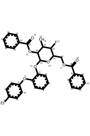 CCc1ccc(Oc2ccccc2OC2OC(COC(=O)c3ccccc3)C(F)C(C)C2OC(=O)c2ccccc2)cc1